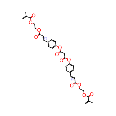 C=C(C)C(=O)OCCOC(=O)/C=C/c1ccc(OC(=O)CC(=O)Oc2ccc(/C=C/C(=O)OCCOC(=O)C(=C)C)cc2)cc1